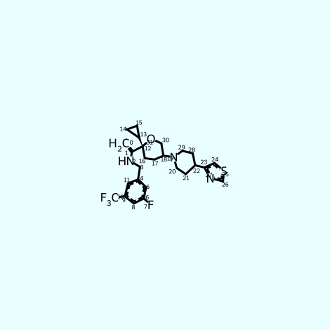 C=C(NCc1cc(F)cc(C(F)(F)F)c1)[C@@]1(C2CC2)CCC(N2CCC(c3cscn3)CC2)CO1